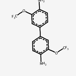 Nc1ccc(-c2ccc(N)c(OC(F)(F)F)c2)cc1OC(F)(F)F